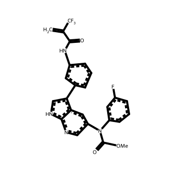 C=C(C(=O)Nc1cccc(-c2c[nH]c3ncc(N(C(=O)OC)c4cccc(F)c4)cc23)c1)C(F)(F)F